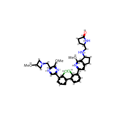 COc1nc(-c2cccc(-c3cccc(-c4cc5c(c(OC)n4)C(NCC4CCC(=O)N4)CC5)c3Cl)c2Cl)cnc1CN1CC(OC)C1